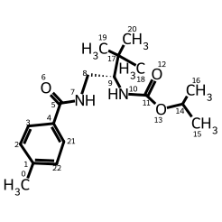 Cc1ccc(C(=O)NC[C@@H](NC(=O)OC(C)C)C(C)(C)C)cc1